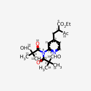 CCOC(=O)C(Cc1ccnc(N(C(=O)C(C)(C)C=O)C(=O)C(C)(C)C=O)c1)C(C)=O